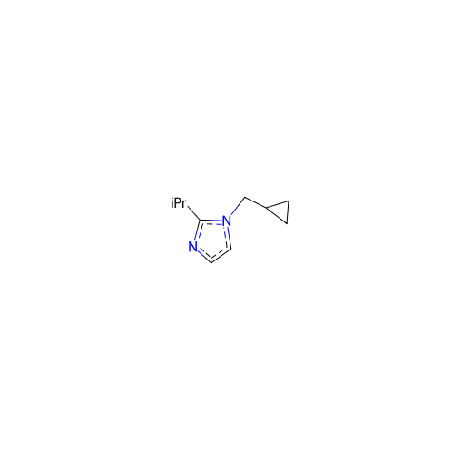 CC(C)c1nccn1CC1CC1